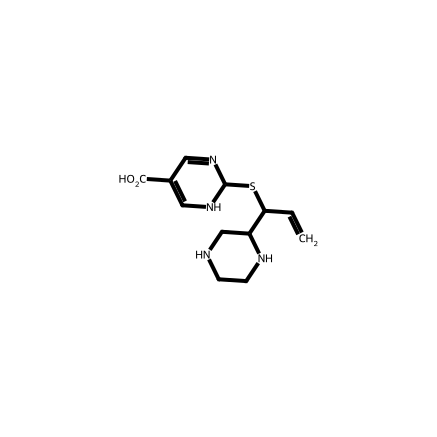 C=CC(SC1N=CC(C(=O)O)=CN1)C1CNCCN1